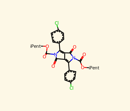 CCCC(C)OC(=O)N1C(=O)C2=C(c3ccc(Cl)cc3)N(C(=O)OC(C)CCC)C(=O)C2=C1c1ccc(Cl)cc1